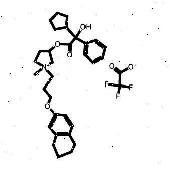 C[N+]1(CCCOc2ccc3c(c2)CCCC3)CCC(OC(=O)C(O)(c2ccccc2)C2CCCC2)C1.O=C([O-])C(F)(F)F